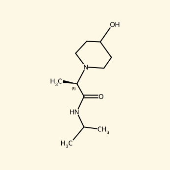 CC(C)NC(=O)[C@@H](C)N1CCC(O)CC1